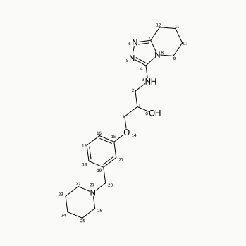 OC(CNc1nnc2n1CCCC2)COc1cccc(CN2CCCCC2)c1